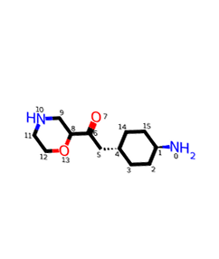 N[C@H]1CC[C@H](CC(=O)C2CNCCO2)CC1